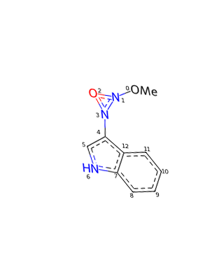 COn1on1-c1c[nH]c2ccccc12